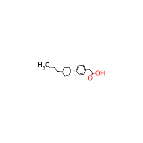 CCCC[C@H]1CC[C@H](c2ccc(CC(=O)O)cc2)CC1